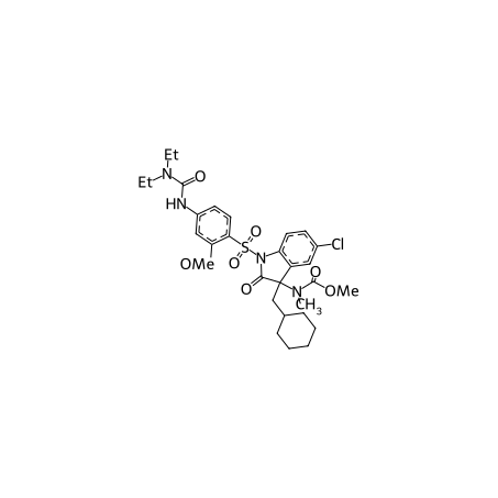 CCN(CC)C(=O)Nc1ccc(S(=O)(=O)N2C(=O)C(CC3CCCCC3)(N(C)C(=O)OC)c3cc(Cl)ccc32)c(OC)c1